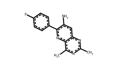 Cc1nc(C)c2nc(-c3ccc(F)cc3)c(N)cc2n1